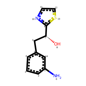 Nc1cccc(C[C@@H](O)c2nccs2)c1